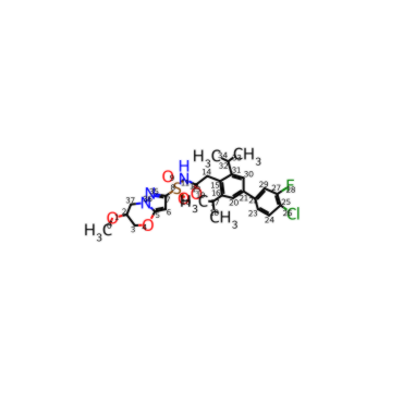 COC1COc2cc(S(=O)(=O)NC(=O)Cc3c(C(C)C)cc(-c4ccc(Cl)c(F)c4)cc3C(C)C)nn2C1